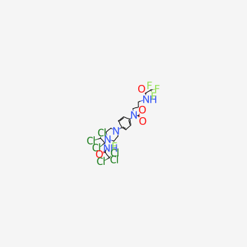 O=C1OC(CNC(=O)C(F)(F)F)CN1c1ccc(N2CCN(C(Cl)(NC(=O)C(Cl)(Cl)Cl)C(Cl)Cl)C(F)C2)cc1